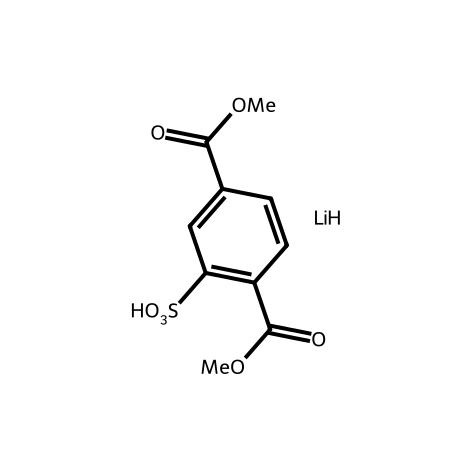 COC(=O)c1ccc(C(=O)OC)c(S(=O)(=O)O)c1.[LiH]